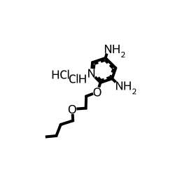 CCCCOCCOc1ncc(N)cc1N.Cl.Cl